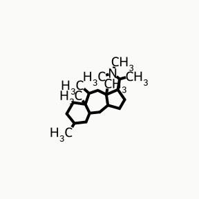 CC1CCC2(C)C(C)CC3(C)C(CCC3C(C)N(C)C)CC2C1